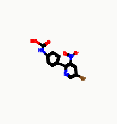 O=C(O)Nc1ccc(-c2ncc(Br)cc2[N+](=O)[O-])cc1